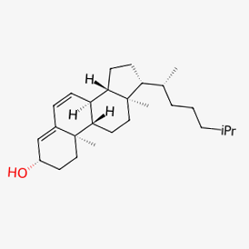 CC(C)CCC[C@@H](C)[C@H]1CC[C@H]2[C@@H]3C=CC4=C[C@@H](O)CC[C@]4(C)[C@H]3CC[C@]12C